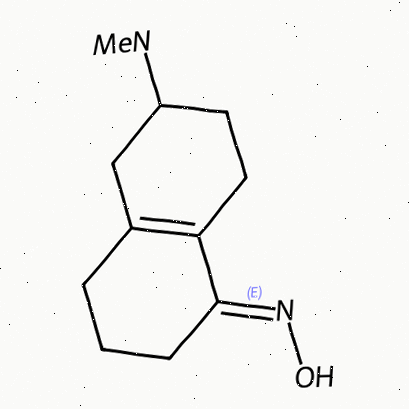 CNC1CCC2=C(CCC/C2=N\O)C1